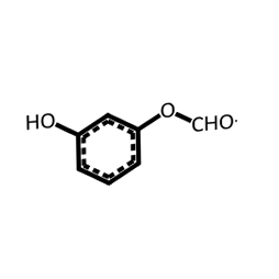 O=[C]Oc1cccc(O)c1